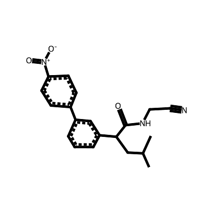 CC(C)CC(C(=O)NCC#N)c1cccc(-c2ccc([N+](=O)[O-])cc2)c1